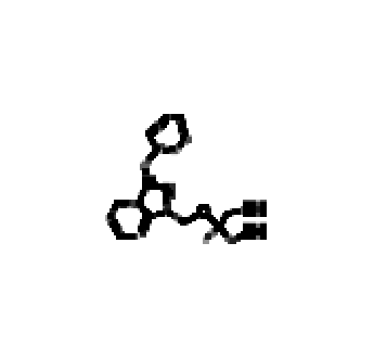 CC1(OCc2nn(Cc3ccccc3)c3ccccc23)CNNC1